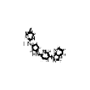 Cc1cnc(N[C@H]2CC[C@H](Nc3ccc(-n4ncc5cccnc54)cn3)C2)nn1